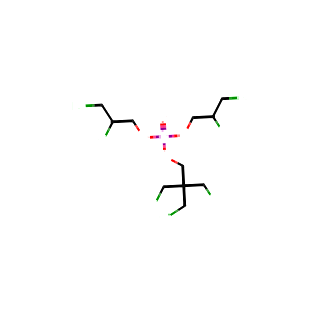 O=P(OCC(Br)CBr)(OCC(Br)CBr)OCC(CCl)(CBr)CBr